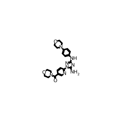 Nc1nc(Nc2ccc(N3CCOCC3)cc2)nn1-c1ccc(C(=O)N2CCOCC2)cn1